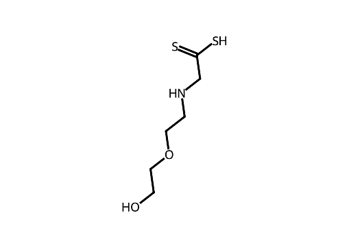 OCCOCCNCC(=S)S